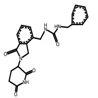 O=C1CCC(N2Cc3c(CNC(=O)NCc4ccccc4)cccc3C2=O)C(=O)N1